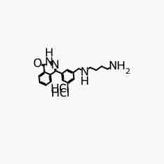 Cl.Cl.NCCCCNCc1cccc(-c2n[nH]c(=O)c3ccccc23)c1